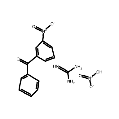 N=C(N)N.O=C(c1ccccc1)c1cccc([N+](=O)[O-])c1.O=[N+]([O-])O